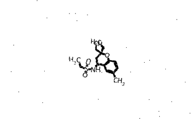 CCC1(CC)CC(NS(=O)(=O)CC)c2cc(C)ccc2O1